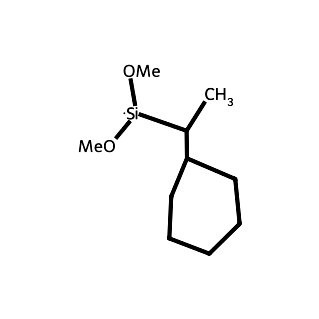 CO[Si](OC)C(C)C1CCCCC1